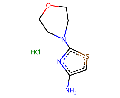 Cl.Nc1csc(N2CCOCC2)n1